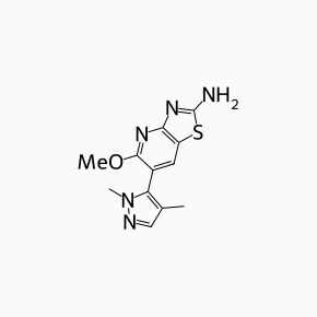 COc1nc2nc(N)sc2cc1-c1c(C)cnn1C